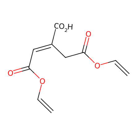 C=COC(=O)C=C(CC(=O)OC=C)C(=O)O